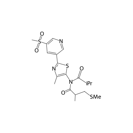 CSCC(C)C(=O)N(C(=O)C(C)C)c1sc(-c2cncc(S(C)(=O)=O)c2)nc1C